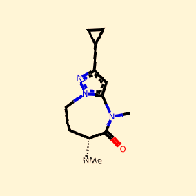 CN[C@@H]1CCn2nc(C3CC3)cc2N(C)C1=O